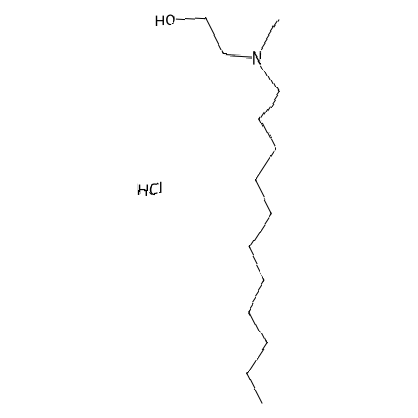 CCCCCCCCCCCN(C)CCO.Cl